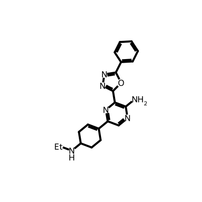 CCNC1CC=C(c2cnc(N)c(-c3nnc(-c4ccccc4)o3)n2)CC1